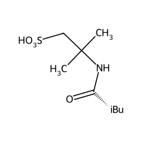 CC[C@@H](C)C(=O)NC(C)(C)CS(=O)(=O)O